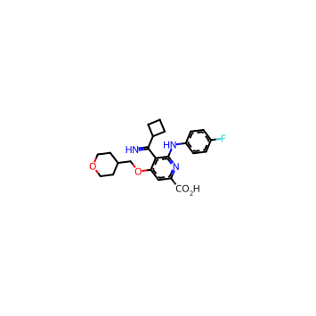 N=C(c1c(OCC2CCOCC2)cc(C(=O)O)nc1Nc1ccc(F)cc1)C1CCC1